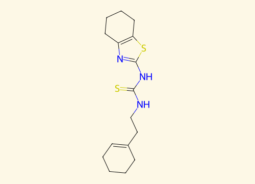 S=C(NCCC1=CCCCC1)Nc1nc2c(s1)CCCC2